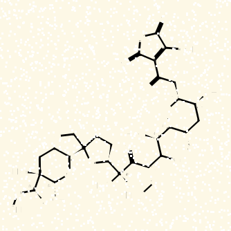 C=C1OC(=O)C(C(=O)C[C@@H]2O[C@@H]([C@H](C)C(O)[C@H](CC)C(=O)[C@](C)(O)[C@@H]3CCC(CC)([C@@H]4CC[C@@](O)([C@@H](C)OC)[C@@H](C)O4)O3)[C@@H](C)C[C@@H]2C)=C1O